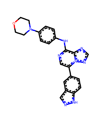 c1nc2c(Nc3ccc(N4CCOCC4)cc3)ncc(-c3ccc4[nH]ncc4c3)n2n1